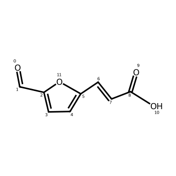 O=Cc1ccc(/C=C/C(=O)O)o1